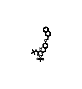 CC(C)(C)OC(=O)N[C@H](COS(C)(=O)=O)Cc1ccc(OCc2ccc3ccccc3c2)cc1